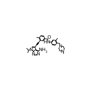 Cc1ccc(C(=O)Nc2ccc(CN3CCN(C)CC3)c(C)c2)cc1C#Cc1cn(C(C)C)c2ncnc(N)c12